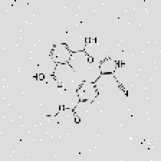 CCOC(=O)c1ccc(-c2cc[nH]c2C#N)cc1.Cc1c(C(=O)O)cccc1C(=O)O